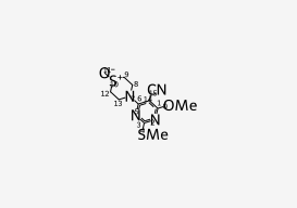 COc1nc(SC)nc(N2CC[S+]([O-])CC2)c1C#N